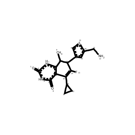 CC1c2[nH]c(=O)[nH]c(=O)c2C(C2CC2)=C(F)C1c1csc(CN)c1